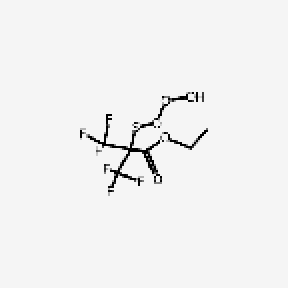 CCOC(=O)C(SOOO)(C(F)(F)F)C(F)(F)F